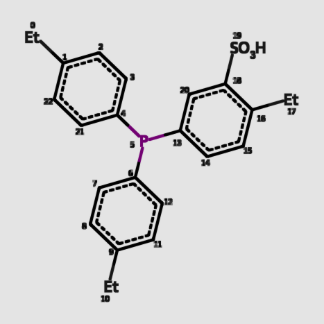 CCc1ccc(P(c2ccc(CC)cc2)c2ccc(CC)c(S(=O)(=O)O)c2)cc1